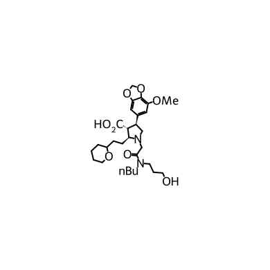 CCCCN(CCCO)C(=O)CN1C[C@H](c2cc(OC)c3c(c2)OCO3)[C@@H](C(=O)O)[C@@H]1CCC1CCCCO1